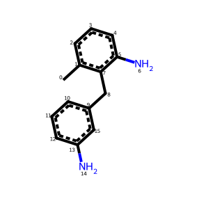 Cc1cccc(N)c1Cc1cccc(N)c1